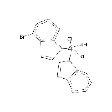 [SH][Zr]([Cl])([Cl])([CH]1C=Cc2ccccc21)[CH]1C=Cc2c(Br)cccc21